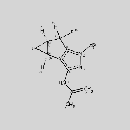 C=C(C)Nc1nn(C(C)(C)C)c2c1[C@H]1C[C@H]1C2(F)F